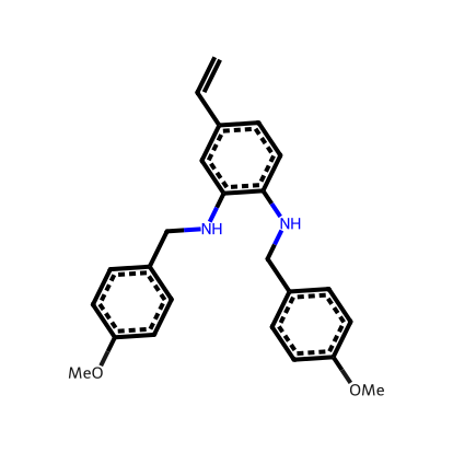 C=Cc1ccc(NCc2ccc(OC)cc2)c(NCc2ccc(OC)cc2)c1